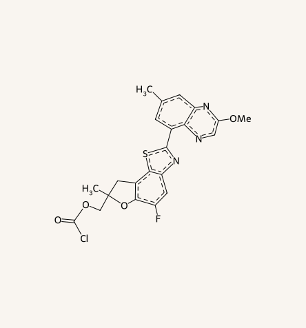 COc1cnc2c(-c3nc4cc(F)c5c(c4s3)CC(C)(COC(=O)Cl)O5)cc(C)cc2n1